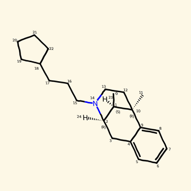 C[C@@H]1[C@H]2Cc3ccccc3[C@]1(C)CCN2CCCC1CCCC1